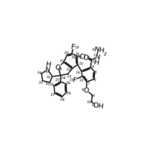 NNC(=O)c1ccc(OCCO)c(F)c1-c1c(Cl)c(F)cc2c1CC(c1ccccc1)(C1CCCN1)O2